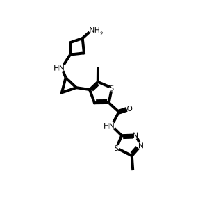 Cc1nnc(NC(=O)c2cc(C3CC3NC3CC(N)C3)c(C)s2)s1